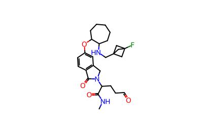 CNC(=O)C(CCC=O)N1Cc2cc(OC3CCCCCC3NCC34CC(F)(C3)C4)ccc2C1=O